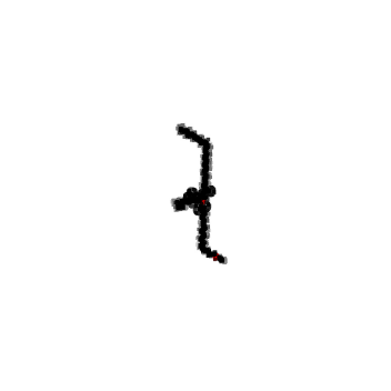 CCCCCC/C=C\CCCCCCCCCC(=O)O[C@H](COC(=O)CCCCCCCCCCC/C=C\CCCCCCCC)COP(=O)([O-])OCC[N+](C)(C)C